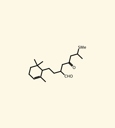 CSC(C)CC(=O)CC(C=O)CCC1C(C)=CCCC1(C)C